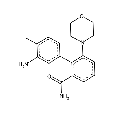 Cc1ccc(-c2c(C(N)=O)cccc2N2CCOCC2)cc1N